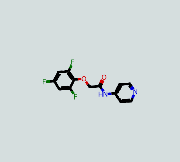 O=C(COc1c(F)cc(F)cc1F)Nc1ccncc1